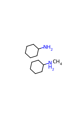 C.NC1CCCCC1.NC1CCCCC1